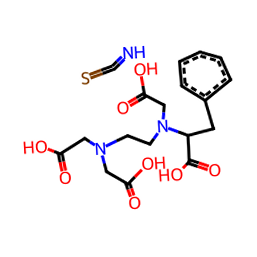 N=C=S.O=C(O)CN(CCN(CC(=O)O)C(Cc1ccccc1)C(=O)O)CC(=O)O